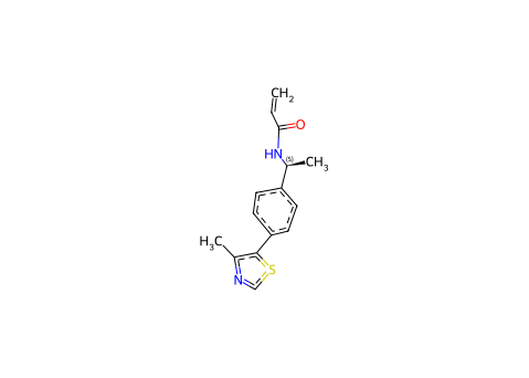 C=CC(=O)N[C@@H](C)c1ccc(-c2scnc2C)cc1